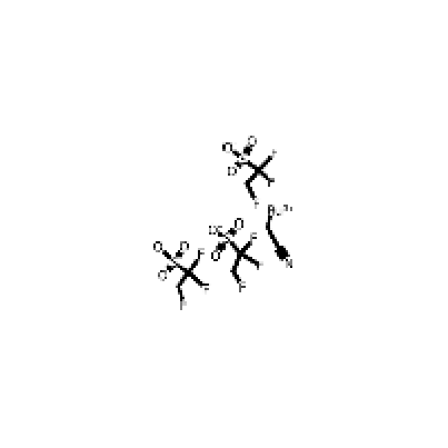 N#C[CH2][Ru+3].O=S(=O)([O-])C(F)(F)CF.O=S(=O)([O-])C(F)(F)CF.O=S(=O)([O-])C(F)(F)CF